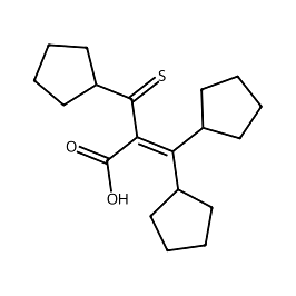 O=C(O)C(C(=S)C1CCCC1)=C(C1CCCC1)C1CCCC1